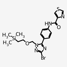 C[Si](C)(C)CCOCn1nc(Br)nc1-c1ccc(NC(=O)c2cscn2)cc1